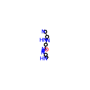 O=C(N=[N+]=Nc1ccc2cc[nH]c2c1)c1ccc(-c2nc3ccc(-c4cccnc4)cc3[nH]2)cc1